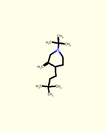 C=C1CN(C(C)(C)C)CCC1CCC(C)(C)C